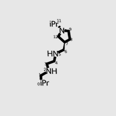 CC(C)CNCCNC[C@@H]1CCN(C(C)C)C1